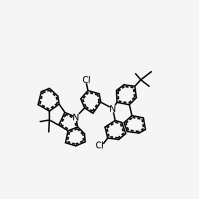 CC(C)(C)c1ccc(N(c2cccc(Cl)c2)c2cc(Cl)cc(-n3c4c(c5ccccc53)C(C)(C)c3ccccc3-4)c2)c(-c2ccccc2)c1